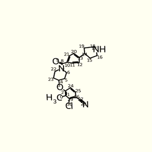 Cc1c(OC2CCN(C(=O)c3ccc(C4CCNCC4)cc3)CC2)ccc(C#N)c1Cl